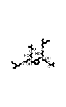 C=C(C)C(=O)OCC(O)CN(Cc1cccc(CN(CC(O)COCCC(CC)CCC)CC(O)COC(=O)C(=C)C)c1)CC(O)COCCC(CC)CCC